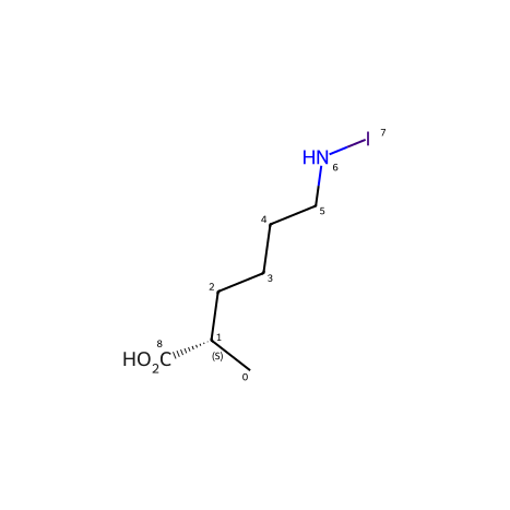 C[C@@H](CCCCNI)C(=O)O